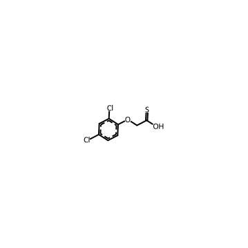 OC(=S)COc1ccc(Cl)cc1Cl